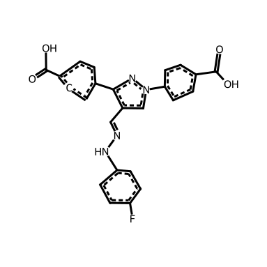 O=C(O)c1ccc(-c2nn(-c3ccc(C(=O)O)cc3)cc2/C=N/Nc2ccc(F)cc2)cc1